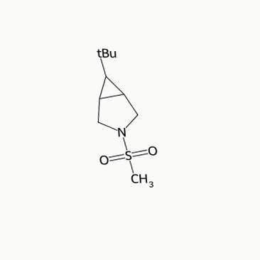 CC(C)(C)C1C2CN(S(C)(=O)=O)CC21